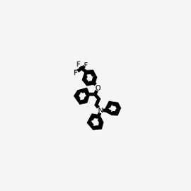 FC(F)(F)c1ccc(OC(CCN(c2ccccc2)c2ccccc2)c2ccccc2)cc1